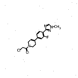 Cn1cnc(-c2ccc(C3=CCN(C(=O)CCl)CC3)cc2F)n1